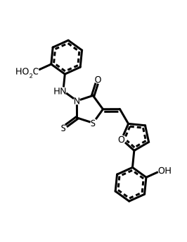 O=C(O)c1ccccc1NN1C(=O)C(=Cc2ccc(-c3ccccc3O)o2)SC1=S